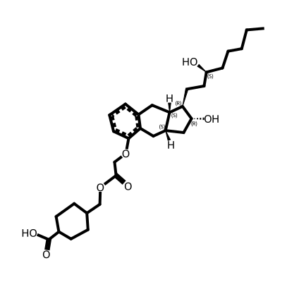 CCCCC[C@H](O)CC[C@@H]1[C@H]2Cc3cccc(OCC(=O)OCC4CCC(C(=O)O)CC4)c3C[C@H]2C[C@H]1O